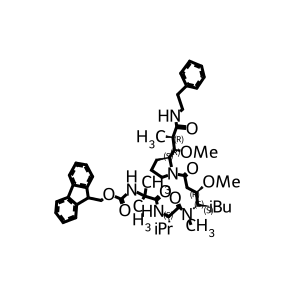 CC[C@H](C)[C@@H]([C@@H](CC(=O)N1CCC[C@H]1[C@H](OC)[C@@H](C)C(=O)NCCc1ccccc1)OC)N(C)C(=O)[C@@H](NC(=O)C(C)(C)NC(=O)OCC1c2ccccc2-c2ccccc21)C(C)C